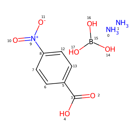 N.N.O=C(O)c1ccc([N+](=O)[O-])cc1.OB(O)O